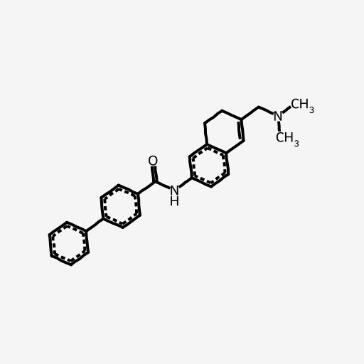 CN(C)CC1=Cc2ccc(NC(=O)c3ccc(-c4ccccc4)cc3)cc2CC1